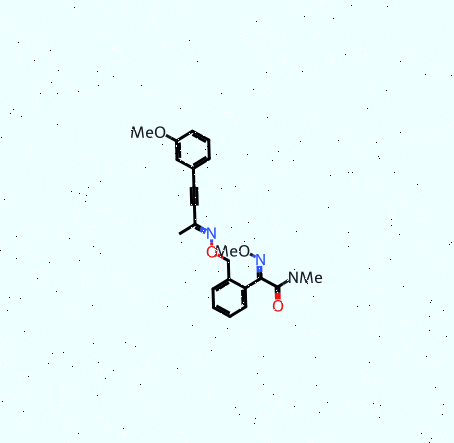 CNC(=O)/C(=N/OC)c1ccccc1CO/N=C(\C)C#Cc1cccc(OC)c1